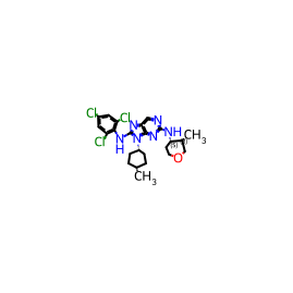 C[C@H]1COCC[C@@H]1Nc1ncc2nc(Nc3c(Cl)cc(Cl)cc3Cl)n([C@H]3CC[C@@H](C)CC3)c2n1